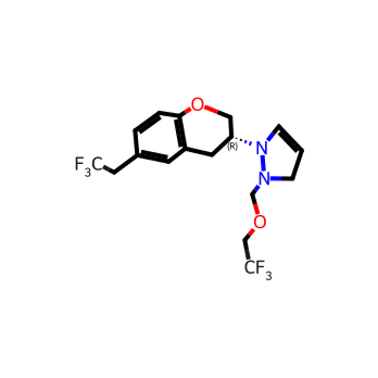 FC(F)(F)COCN1CC=CN1[C@H]1COc2ccc(CC(F)(F)F)cc2C1